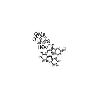 COC(=O)c1ccc(OCCc2c(CCO)n(C(c3ccccc3)c3ccccc3)c3ccc(Cl)cc23)cc1F